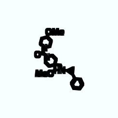 COCC1(CN[C@H]2C[C@H]2c2ccccc2)CCN(C(=O)N2CCC(OC)CC2)CC1